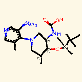 Cc1cncc(N)c1N1C[C@H](C)[C@H](O[Si](C)(C)C(C)(C)C)[C@H](NC(=O)O)C1